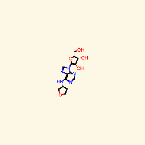 OC[C@H]1OC(n2cnc3c(N[C@@H]4CCOC4)ncnc32)[C@H](O)[C@@H]1O